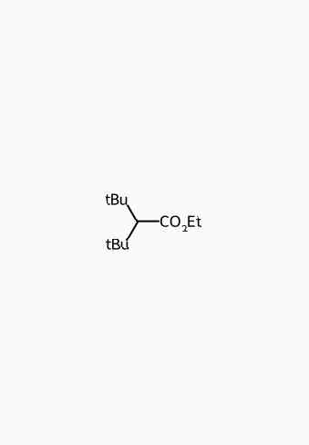 CCOC(=O)C(C(C)(C)C)C(C)(C)C